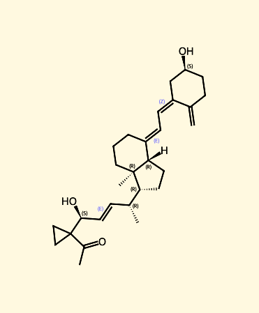 C=C1CC[C@H](O)C/C1=C/C=C1\CCC[C@]2(C)[C@@H]([C@H](C)/C=C/[C@H](O)C3(C(C)=O)CC3)CC[C@@H]12